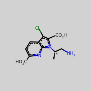 C[C@H](CN)n1c(C(=O)O)c(Cl)c2ccc(C(=O)O)nc21